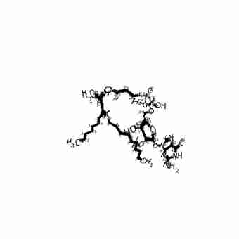 CCCCCCCCCCSC(CCCCCCC)C(C)OCCCOP(=O)(O)OP(=O)(O)OC[C@H]1O[C@@H](On2cnc3c(=O)[nH]c(N)nc32)[C@@H](O)[C@@H]1O